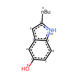 CCCCc1cc2cc(O)ccc2[nH]1